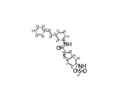 CS(=O)(=O)Nc1ccc2sc(C(=O)Nc3cccc(C=Cc4ccccc4)c3)cc2c1